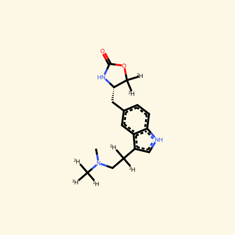 [2H]C([2H])(CN(C)C([2H])([2H])[2H])c1c[nH]c2ccc(C[C@@H]3NC(=O)OC3([2H])[2H])cc12